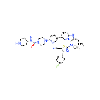 CCc1nc2ccc(-c3ccc(N4CCN(C(=O)NC5CCNCC5)CC4)nc3)cn2c1N(C)c1nc(-c2ccc(F)cc2)c(C#N)s1